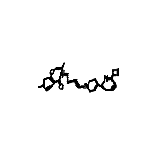 CC1=COc2cc(C)ccc2C(=O)N1CCCCN1CC=C(c2cccc(Cl)n2)CC1